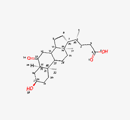 C[C@H](CCC(=O)O)[C@H]1CCC2C3CC(=O)[C@@H]4C[C@H](O)CC[C@]4(C)C3CC[C@@]21C